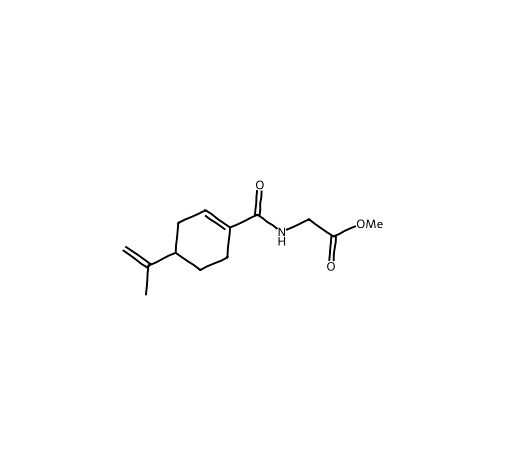 C=C(C)C1CC=C(C(=O)NCC(=O)OC)CC1